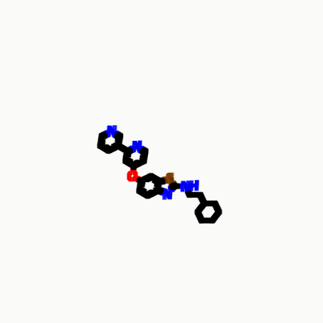 c1cncc(-c2cc(Oc3ccc4nc(NCCC5CCCCC5)sc4c3)ccn2)c1